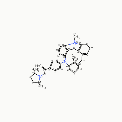 C=C(CN1C(=C)CCC1=C)c1ccc(N2c3cccc(c3C)CC3=CCCC4=C3Cc3c(cccc32)N4C)cc1